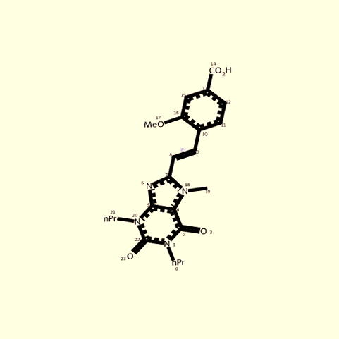 CCCn1c(=O)c2c(nc(/C=C/c3ccc(C(=O)O)cc3OC)n2C)n(CCC)c1=O